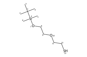 CC(C)(C)[Si](C)(C)OCCOCCS